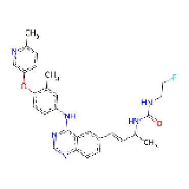 Cc1ccc(Oc2ccc(Nc3ncnc4ccc(C=CC(C)NC(=O)NCCF)cc34)cc2C)cn1